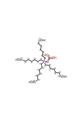 CCCCCCCCCCCCCCCCP(CCCCCCCCCCCCCCCC)(CCCCCCCCCCCCCCCC)(CCCCCCCCCCCCCCCC)OB(O)O